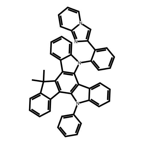 CC1(C)c2ccccc2-c2c1c1c3ccccc3n(-c3ccccc3-c3cn4ccccc4n3)c1c1c3ccccc3n(-c3ccccc3)c21